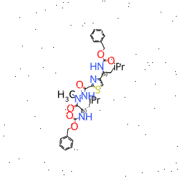 CC(C)C[C@H](NC(=O)OCc1ccccc1)C(=O)N(C)NC(=O)c1nc([C@H](CC(C)C)NC(=O)OCc2ccccc2)cs1